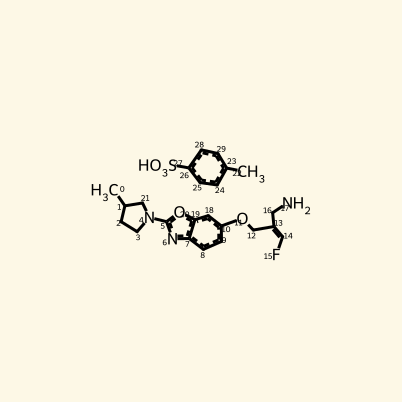 CC1CCN(c2nc3ccc(OC/C(=C\F)CN)cc3o2)C1.Cc1ccc(S(=O)(=O)O)cc1